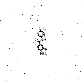 Cc1cnc(NC(=O)c2ccc(N)c(F)c2)cn1